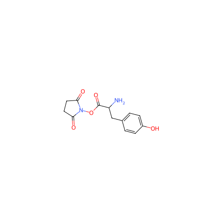 NC(Cc1ccc(O)cc1)C(=O)ON1C(=O)CCC1=O